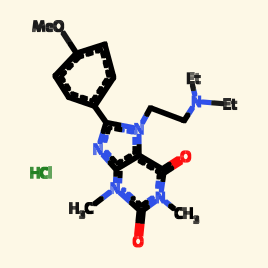 CCN(CC)CCn1c(-c2ccc(OC)cc2)nc2c1c(=O)n(C)c(=O)n2C.Cl